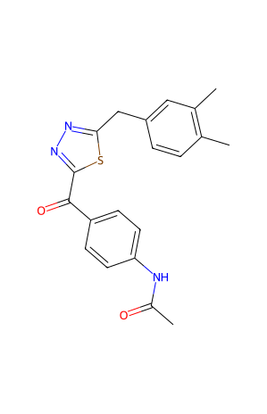 CC(=O)Nc1ccc(C(=O)c2nnc(Cc3ccc(C)c(C)c3)s2)cc1